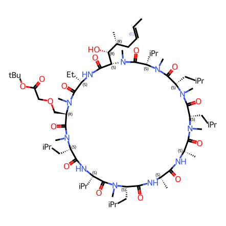 C/C=C/C[C@@H](C)[C@@H](O)[C@H]1C(=O)N[C@@H](CC)C(=O)N(C)[C@H](COCC(=O)OC(C)(C)C)C(=O)N(C)[C@@H](CC(C)C)C(=O)N[C@@H](C(C)C)C(=O)N(C)[C@@H](CC(C)C)C(=O)N[C@@H](C)C(=O)N[C@@H](C)C(=O)N(C)[C@@H](CC(C)C)C(=O)N(C)[C@@H](CC(C)C)C(=O)N(C)[C@@H](C(C)C)C(=O)N1C